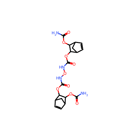 NC(=O)OC1C2C=CC(C2)C1OC(=O)NONC(=O)OC1C2C=CC(C2)C1OC(N)=O